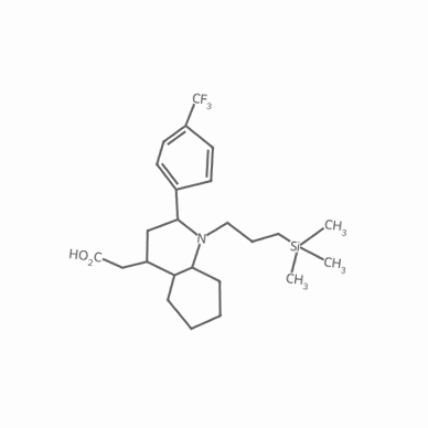 C[Si](C)(C)CCCN1C(c2ccc(C(F)(F)F)cc2)CC(CC(=O)O)C2CCCCC21